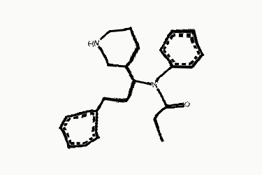 CCC(=O)N(c1ccccc1)C(CCc1ccccc1)C1CCCNC1